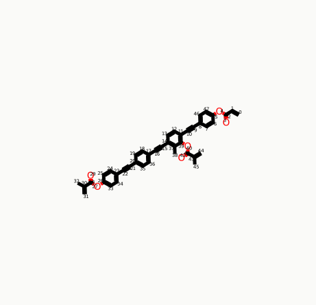 C=CC(=O)Oc1ccc(C#Cc2ccc(C#Cc3ccc(C#Cc4ccc(OC(=O)C(=C)C)cc4)cc3)c(C)c2OC(=O)C(=C)C)cc1